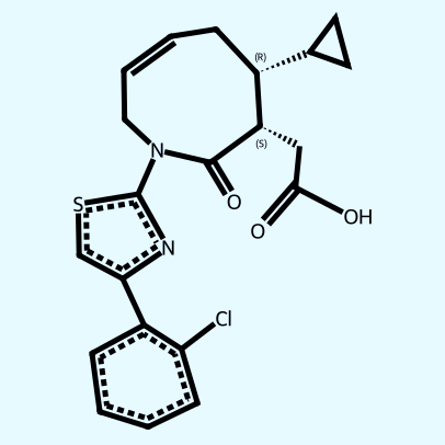 O=C(O)C[C@@H]1C(=O)N(c2nc(-c3ccccc3Cl)cs2)CC=CC[C@@H]1C1CC1